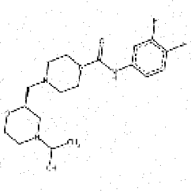 CC(C)N1CCO[C@@H](CN2CCN(C(=O)Nc3ccc(F)c(F)c3)CC2)C1